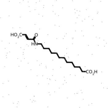 O=C(O)C=CC(=O)NCCCCCCCCCCCCC(=O)O